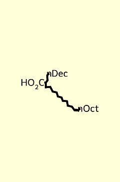 CCCCCCCC/C=C\CCCCCCCCCCC(CCCCCCCCCCCC)C(=O)O